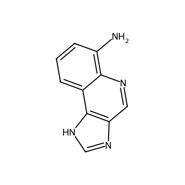 Nc1cccc2c1ncc1nc[nH]c12